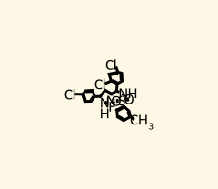 Cc1ccc(F)c(S(=O)(=O)NC(C2=NNC(c3ccc(Cl)cc3)C2)c2ccc(Cl)cc2Cl)c1